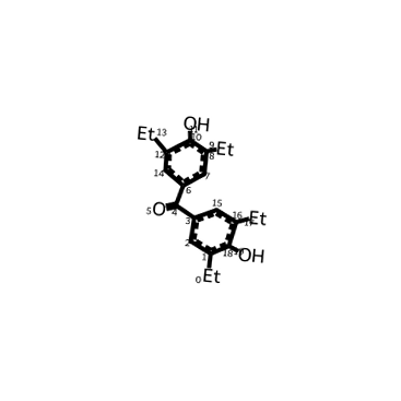 CCc1cc(C(=O)c2cc(CC)c(O)c(CC)c2)cc(CC)c1O